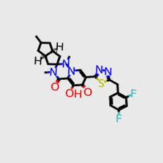 CC1C[C@@H]2CC3(C[C@@H]2C1)N(C)C(=O)c1c(O)c(=O)c(-c2nnc(Cc4ccc(F)cc4F)s2)cn1N3C